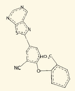 N#Cc1cc(-c2nc3cncnc3s2)ccc1Oc1ccccc1C(=O)O